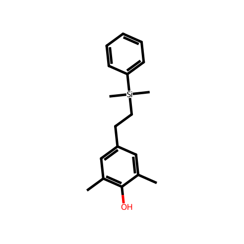 Cc1cc(CC[Si](C)(C)c2ccccc2)cc(C)c1O